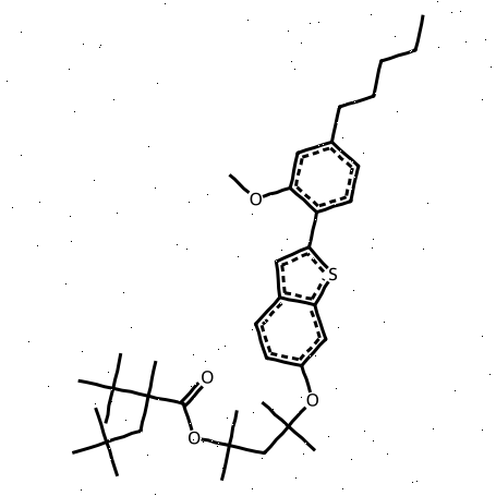 CCCCCc1ccc(-c2cc3ccc(OC(C)(C)CC(C)(C)OC(=O)C(C)(CC(C)(C)C)C(C)(C)C)cc3s2)c(OC)c1